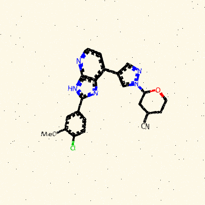 COc1cc(-c2nc3c(-c4cnn(C5CC(C#N)CCO5)c4)ccnc3[nH]2)ccc1Cl